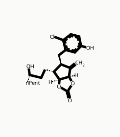 C=C1[C@H]2OC(=O)O[C@H]2[C@H](CC[C@@H](O)CCCCC)[C@H]1Cc1cc(O)ccc1Cl